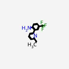 CCc1cccc(-c2cc(C(F)(F)F)ccc2N)n1